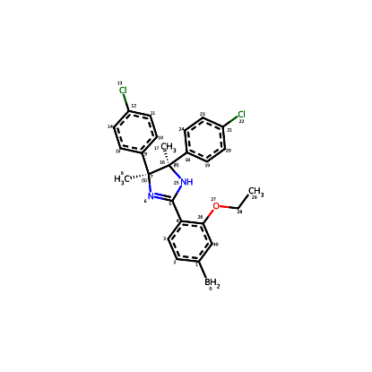 Bc1ccc(C2=N[C@@](C)(c3ccc(Cl)cc3)[C@@](C)(c3ccc(Cl)cc3)N2)c(OCC)c1